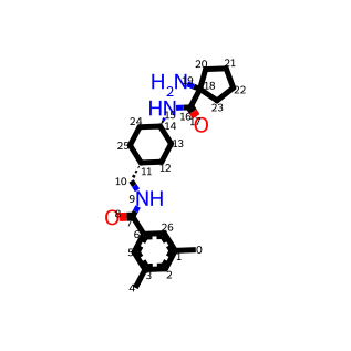 Cc1cc(C)cc(C(=O)NC[C@H]2CC[C@@H](NC(=O)C3(N)CCCC3)CC2)c1